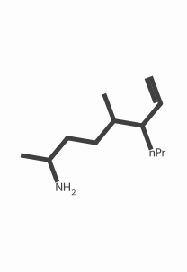 C=CC(CCC)C(C)CCC(C)N